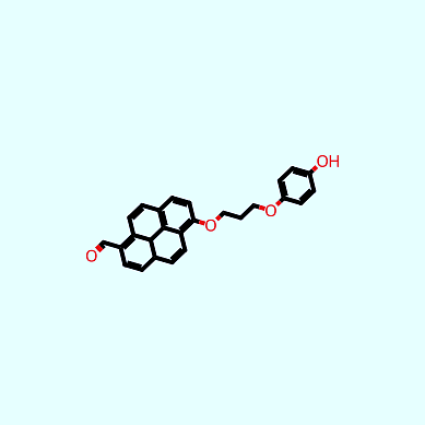 O=CC1=C2C=Cc3ccc(OCCCOc4ccc(O)cc4)c4c3C2C(C=C1)C=C4